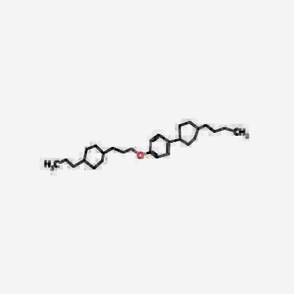 CCCCC1CCC(c2ccc(OCCCC3CCC(CCC)CC3)cc2)CC1